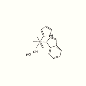 Cl.Cl.[CH2]=[Ti]([CH3])([CH3])([CH3])([c]1ccc[pH]1)[CH]1C=Cc2ccccc21